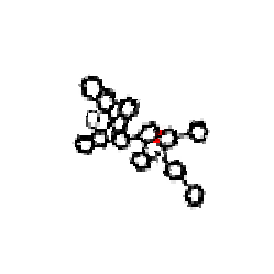 c1ccc(-c2ccc(N(c3cccc(-c4ccccc4)c3)c3ccccc3-c3ccccc3-c3cccc4c3-c3ccccc3C43c4ccc5ccccc5c4Oc4c3ccc3ccccc43)cc2)cc1